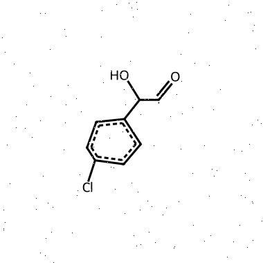 O=[C]C(O)c1ccc(Cl)cc1